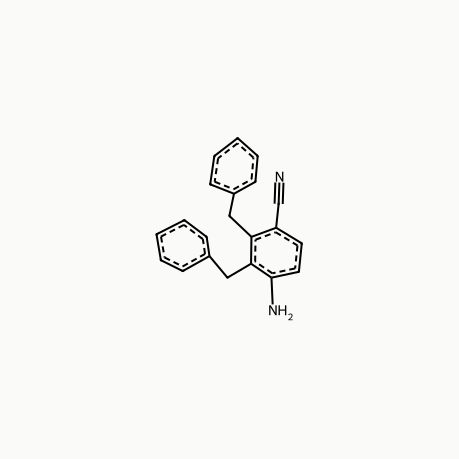 N#Cc1ccc(N)c(Cc2ccccc2)c1Cc1ccccc1